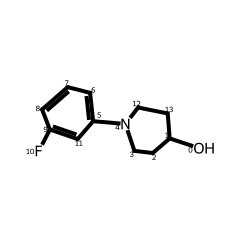 OC1CCN(c2cc[c]c(F)c2)CC1